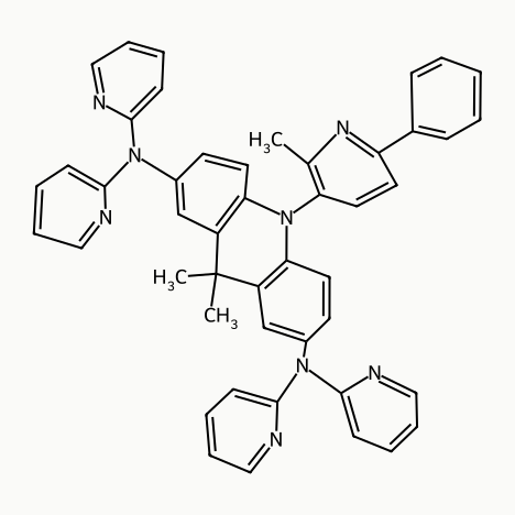 Cc1nc(-c2ccccc2)ccc1N1c2ccc(N(c3ccccn3)c3ccccn3)cc2C(C)(C)c2cc(N(c3ccccn3)c3ccccn3)ccc21